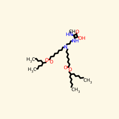 CCCCCCC(CCCCCC)COC(=O)CCCCCCCN(CCCCCCCC(=O)OCC(CCCC)CCCC)CCCNC1=C(NC)C(=O)C1O